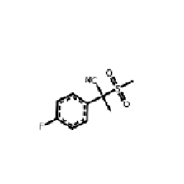 CC(C#N)(c1ccc(F)cc1)S(C)(=O)=O